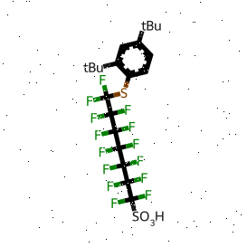 CC(C)(C)c1ccc(SC(F)(F)C(F)(F)C(F)(F)C(F)(F)C(F)(F)C(F)(F)C(F)(F)S(=O)(=O)O)c(C(C)(C)C)c1